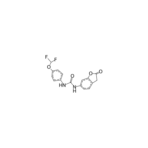 O=C(Nc1ccc(OC(F)F)cc1)Nc1ccc2c(c1)OC(=O)C2